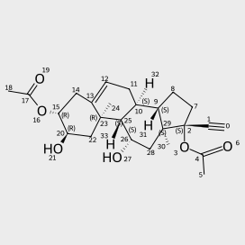 C#C[C@]1(OC(C)=O)CC[C@H]2[C@@H]3CC=C4C[C@@H](OC(C)=O)[C@H](O)C[C@]4(C)[C@H]3[C@@H](O)C[C@@]21C